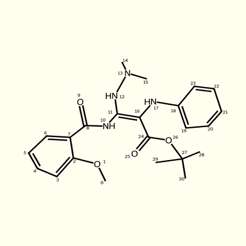 COc1ccccc1C(=O)N/C(NN(C)C)=C(/Nc1ccccc1)C(=O)OC(C)(C)C